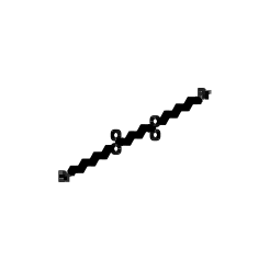 O=C(CCCCC(=O)OCCCCCCCBr)OCCCCCCCBr